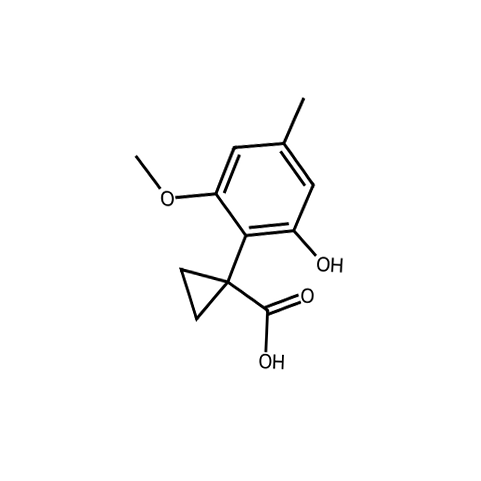 COc1cc(C)cc(O)c1C1(C(=O)O)CC1